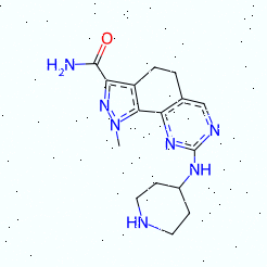 Cn1nc(C(N)=O)c2c1-c1nc(NC3CCNCC3)ncc1CC2